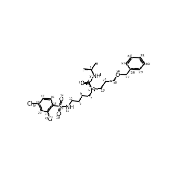 CC(C)NC(=O)N(CCCCNS(=O)(=O)c1ccc(Cl)cc1Cl)CCCOCc1ccccc1